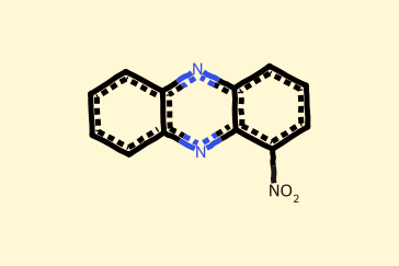 O=[N+]([O-])c1cccc2nc3ccccc3nc12